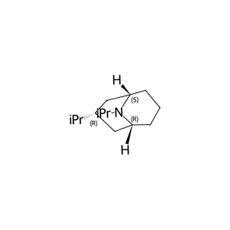 CC(C)[C@H]1C[C@H]2CCC[C@@H](C1)N2C(C)C